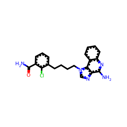 NC(=O)c1cccc(CCCCn2cnc3c(N)nc4ccccc4c32)c1Cl